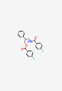 O=C(NCC(COC(=O)c1ccc(F)cc1)c1ccccc1)c1ccc(F)cc1